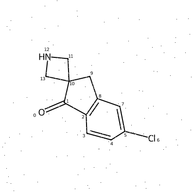 O=C1c2ccc(Cl)cc2CC12CNC2